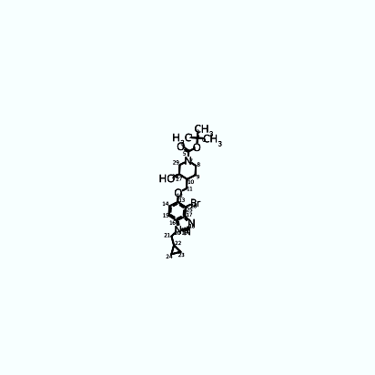 CC(C)(C)OC(=O)N1CCC(COc2ccc3c(nnn3CC3CC3)c2Br)C(O)C1